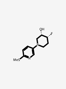 CSc1ccc(N2CC[C@@H](F)[C@@H](O)C2)cn1